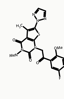 CNn1c(=O)c2c(C)c(-n3nccn3)sc2n(CC(=O)c2cc(F)ccc2OC)c1=O